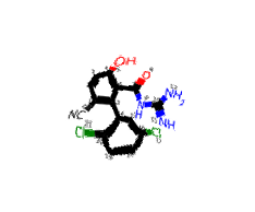 N#Cc1ccc(O)c(C(=O)NC(=N)N)c1-c1cc(Cl)ccc1Cl